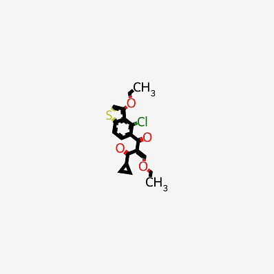 CCOC=C(C(=O)c1ccc2scc(OCC)c2c1Cl)C(=O)C1CC1